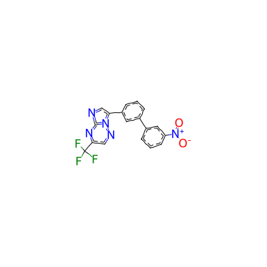 O=[N+]([O-])c1cccc(-c2cccc(-c3cnc4nc(C(F)(F)F)cnn34)c2)c1